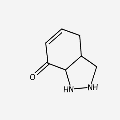 O=C1C=CCC2CNNC12